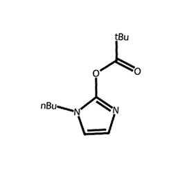 CCCCn1ccnc1OC(=O)C(C)(C)C